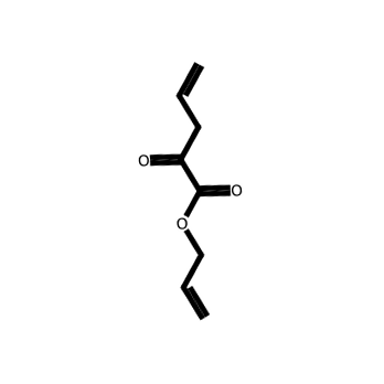 C=CCOC(=O)C(=O)CC=C